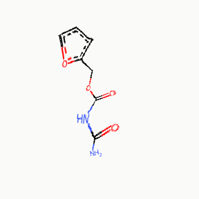 NC(=O)NC(=O)OCc1ccco1